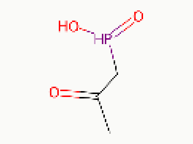 CC(=O)C[PH](=O)O